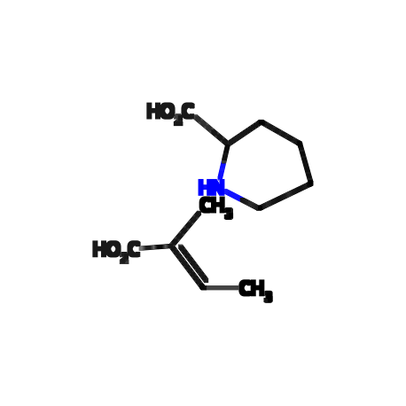 C/C=C(\C)C(=O)O.O=C(O)C1CCCCN1